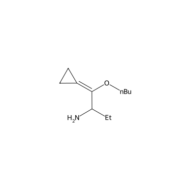 CCCCOC(=C1CC1)C(N)CC